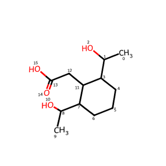 CC(O)C1C[CH]CC(C(C)O)C1CC(=O)O